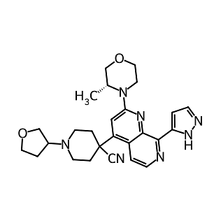 C[C@@H]1COCCN1c1cc(C2(C#N)CCN(C3CCOC3)CC2)c2ccnc(-c3ccn[nH]3)c2n1